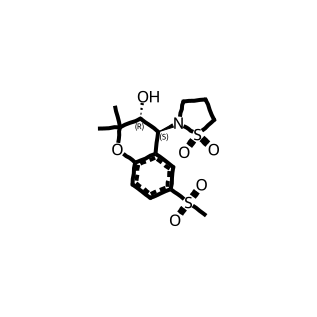 CC1(C)Oc2ccc(S(C)(=O)=O)cc2[C@H](N2CCCS2(=O)=O)[C@H]1O